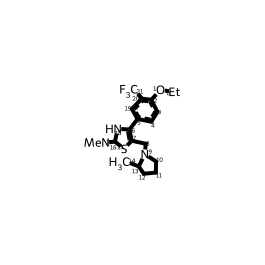 CCOc1ccc(C2=C(CN3CCCC3C)SC(NC)N2)cc1C(F)(F)F